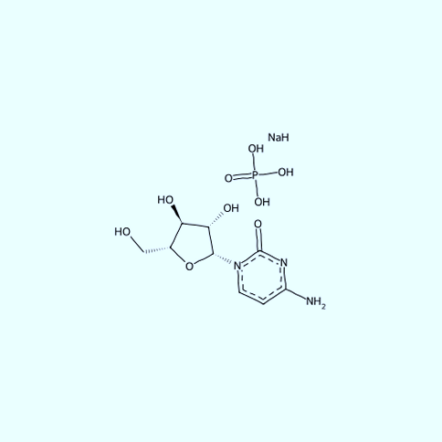 Nc1ccn([C@@H]2O[C@H](CO)[C@@H](O)[C@@H]2O)c(=O)n1.O=P(O)(O)O.[NaH]